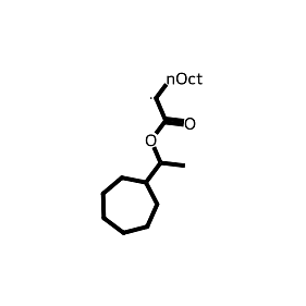 CCCCCCCC[CH]C(=O)OC(C)C1CCCCCC1